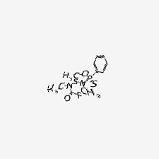 COP(=S)(c1ccccc1)N(C)SN(C)C(=O)F